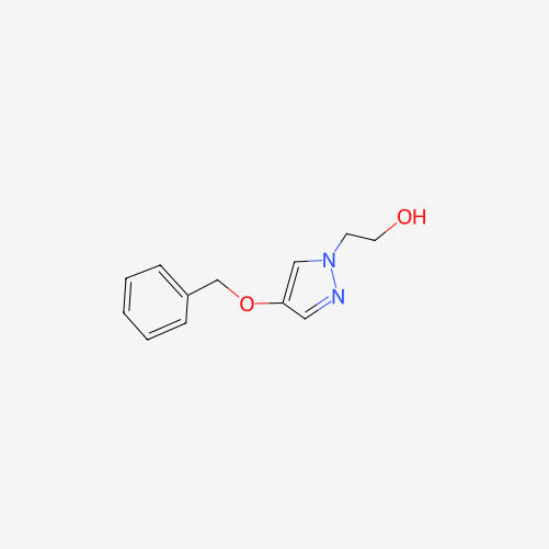 OCCn1cc(OCc2ccccc2)cn1